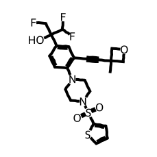 CC1(C#Cc2cc(C(O)(CF)C(F)F)ccc2N2CCN(S(=O)(=O)c3cccs3)CC2)COC1